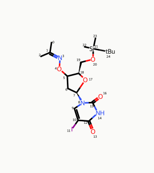 CC(C)=NOC1C[C@H](n2cc(I)c(=O)[nH]c2=O)O[C@@H]1CO[Si](C)(C)C(C)(C)C